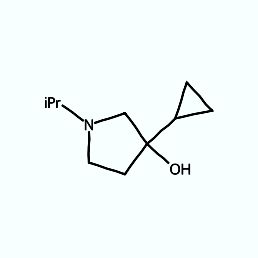 CC(C)N1CCC(O)(C2CC2)C1